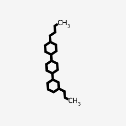 CCCCC1CCC(C2CCC(C3CCCC(CCC)C3)CC2)CC1